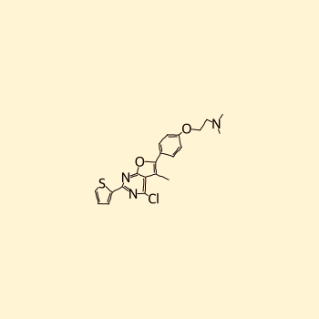 Cc1c(-c2ccc(OCCN(C)C)cc2)oc2nc(-c3cccs3)nc(Cl)c12